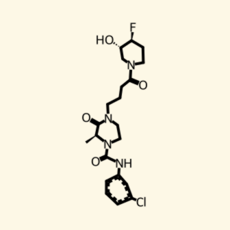 C[C@H]1C(=O)N(CCCC(=O)N2CC[C@H](F)[C@@H](O)C2)CCN1C(=O)Nc1cccc(Cl)c1